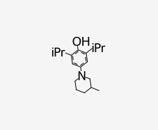 CC1CCCN(c2cc(C(C)C)c(O)c(C(C)C)c2)C1